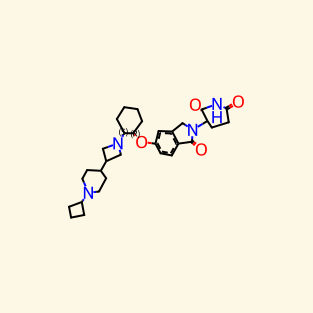 O=C1CCC(N2Cc3cc(O[C@@H]4CCCC[C@@H]4N4CC(C5CCN(C6CCC6)CC5)C4)ccc3C2=O)C(=O)N1